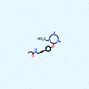 CN1CCN(C)CC(Oc2ccc(C#CCNC(=O)CI)cc2)CN(CC(=O)O)CC1